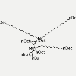 CCCCCCCCCCCCCCCCCCCCCCC#CC1=C(c2cc(CCCCCCCC)cc(CCCCCCCC)c2)[N+](=[N-])C(c2cc(CCCC)cc(CCCC)c2)=C1CCCCCCCC.CCCCCCCCCCCCCCCCCCCCCCCCCCCC[CH2][Ni][CH2]CCCCCCCCCCCCCCCCCCCCCCCCCCCC